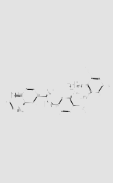 COc1ccc(NC(=O)c2ccc3nccnc3c2)cc1S(=O)(=O)Nc1c(C)cccc1C